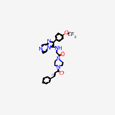 O=C(/C=C/c1ccccc1)N1CCN(C(=O)CNc2c(-c3ccc(OC(F)(F)F)cc3)nc3cnccn23)CC1